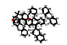 CC1(C)c2ccccc2-c2ccc(-c3ccccc3-c3c4ccc(N5C6=C(C=CCC6)Sc6ccccc65)cc4c(-c4ccc5ccccc5c4)c4ccc(N5C6=C(CCC=C6)Sc6ccccc65)cc34)cc21